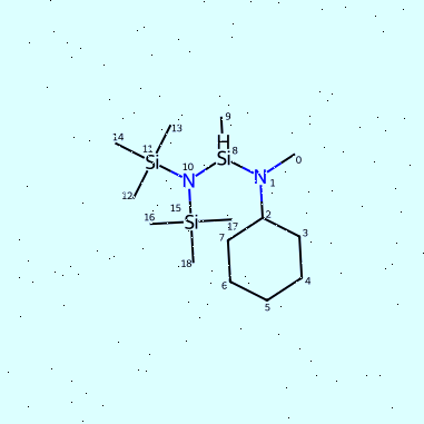 CN(C1CCCCC1)[SiH](C)N([Si](C)(C)C)[Si](C)(C)C